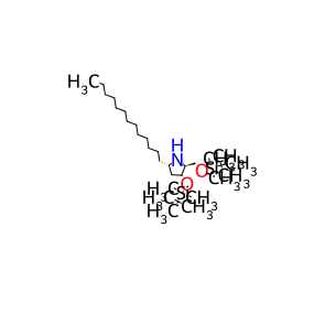 CCCCCCCCCCCCC[C@H]1C[C@@H](O[Si](C)(C)C(C)(C)C)[C@H](CO[Si](C)(C)C(C)(C)C)N1